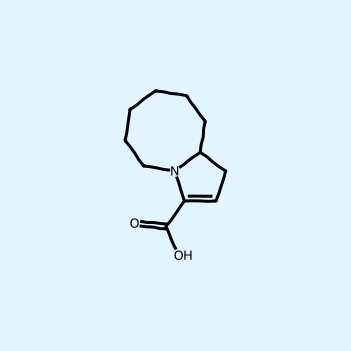 O=C(O)C1=CCC2CCCCCCN12